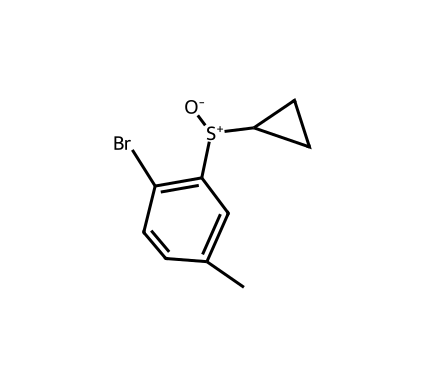 Cc1ccc(Br)c([S+]([O-])C2CC2)c1